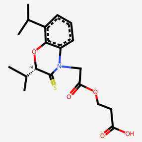 CC(C)c1cccc2c1O[C@@H](C(C)C)C(=S)N2CC(=O)OCCC(=O)O